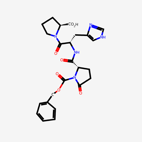 O=C(O)[C@@H]1CCCN1C(=O)[C@H](Cc1c[nH]cn1)NC(=O)[C@@H]1CCC(=O)N1C(=O)OCc1ccccc1